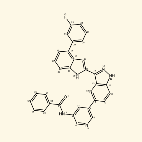 O=C(Nc1cncc(-c2ccc3[nH]nc(-c4cc5c(-c6cccc(F)c6)ccnc5[nH]4)c3n2)c1)c1ccccc1